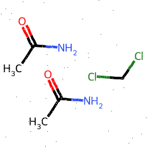 CC(N)=O.CC(N)=O.ClCCl